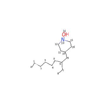 CCCCCCC(CC)CC1CCN(O)CC1